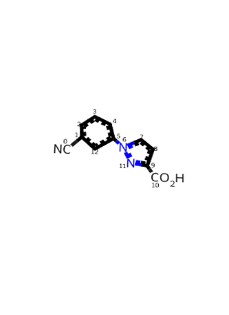 N#Cc1cccc(-n2ccc(C(=O)O)n2)c1